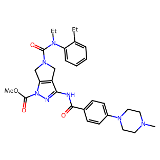 CCc1ccccc1N(CC)C(=O)N1Cc2c(NC(=O)c3ccc(N4CCN(C)CC4)cc3)nn(C(=O)OC)c2C1